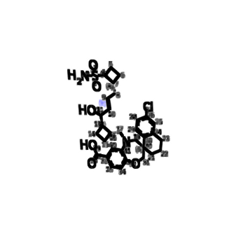 NS(=O)(=O)[C@H]1CC[C@@H]1C/C=C/C(O)[C@@H]1CC[C@H]1CN1C[C@@]2(CCCc3cc(Cl)ccc32)COc2ccc(C(=O)O)cc21